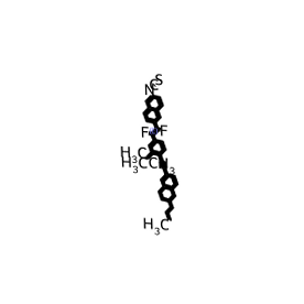 CCCCC1CCc2cc(C#Cc3ccc(/C(F)=C(\F)c4ccc5cc(N=C=S)ccc5c4)cc3C(C)(C)C)ccc2C1